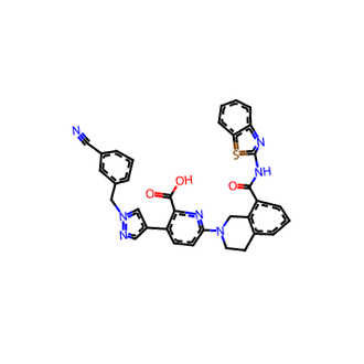 N#Cc1cccc(Cn2cc(-c3ccc(N4CCc5cccc(C(=O)Nc6nc7ccccc7s6)c5C4)nc3C(=O)O)cn2)c1